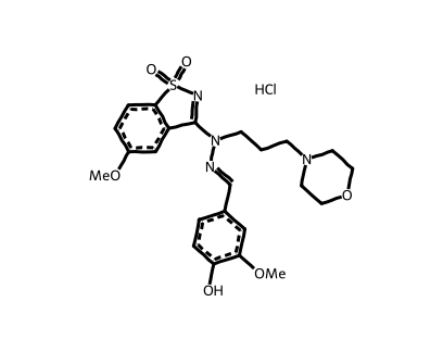 COc1ccc2c(c1)C(N(CCCN1CCOCC1)N=Cc1ccc(O)c(OC)c1)=NS2(=O)=O.Cl